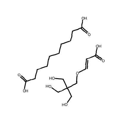 O=C(O)C=COCC(CO)(CO)CO.O=C(O)CCCCCCCCC(=O)O